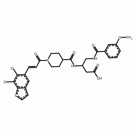 COc1cccc(C(=O)NCC(CC(=O)O)NC(=O)C2CCN(C(=O)C=Cc3cc4ccsc4c(Cl)c3Cl)CC2)c1